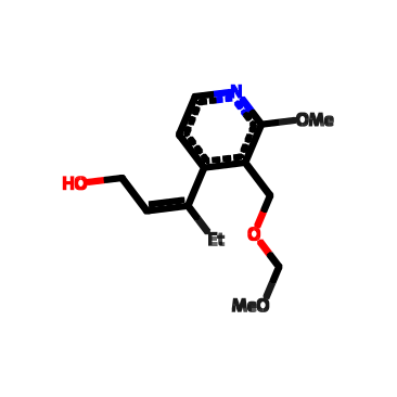 CC/C(=C/CO)c1ccnc(OC)c1COCOC